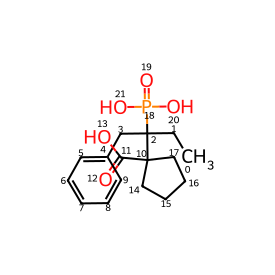 CCC(Cc1ccccc1)(C1(C(=O)O)CCCC1)P(=O)(O)O